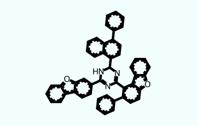 c1ccc(-c2ccc3oc4ccccc4c3c2C2=NC(c3ccc(-c4ccccc4)c4ccccc34)NC(c3ccc4c(c3)oc3ccccc34)=N2)cc1